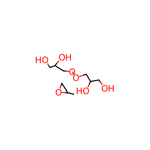 CC1CO1.OCC(O)COOCC(O)CO